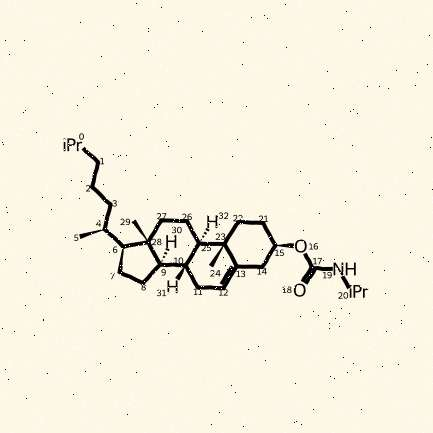 CC(C)CCC[C@H](C)[C@@H]1CC[C@@H]2[C@H]3CC=C4C[C@H](OC(=O)NC(C)C)CC[C@@]4(C)[C@@H]3CC[C@]21C